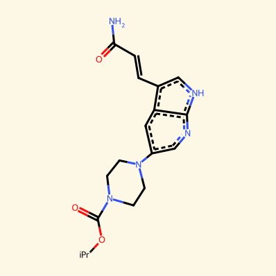 CC(C)OC(=O)N1CCN(c2cnc3[nH]cc(C=CC(N)=O)c3c2)CC1